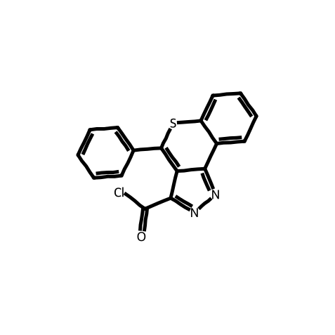 O=C(Cl)c1nnc2c3ccccc3sc(-c3ccccc3)c1-2